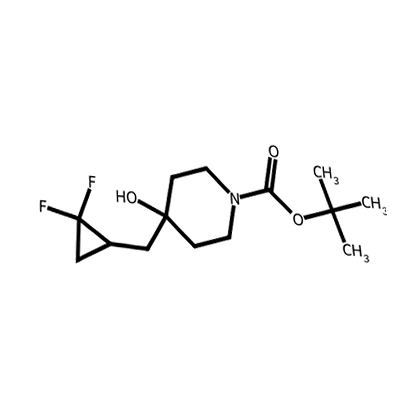 CC(C)(C)OC(=O)N1CCC(O)(CC2CC2(F)F)CC1